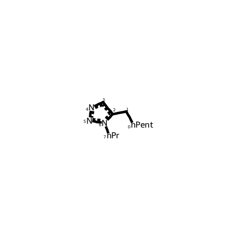 CCCCCCc1cnnn1CCC